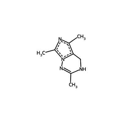 CC1=Nn2c(C)nc(C)c2CN1